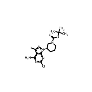 CC(C)(C)OC(=O)N1CCC[C@@H](n2nc(I)c3c(N)nc(Cl)nc32)C1